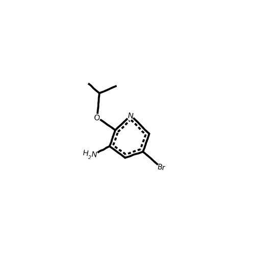 CC(C)Oc1ncc(Br)cc1N